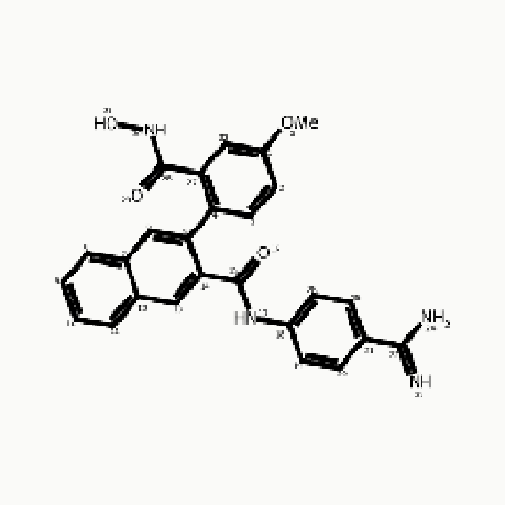 COc1ccc(-c2cc3ccccc3cc2C(=O)Nc2ccc(C(=N)N)cc2)c(C(=O)NO)c1